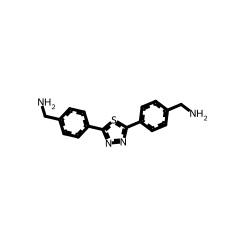 NCc1ccc(-c2nnc(-c3ccc(CN)cc3)s2)cc1